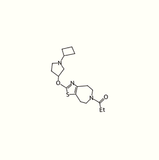 CCC(=O)N1CCc2nc(OC3CCN(C4CCC4)C3)sc2CC1